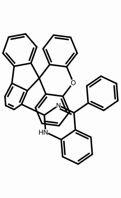 c1ccc(C2=NC(c3cccc4c3C3(c5ccccc5Oc5ccccc53)c3ccccc3-4)Nc3ccccc32)cc1